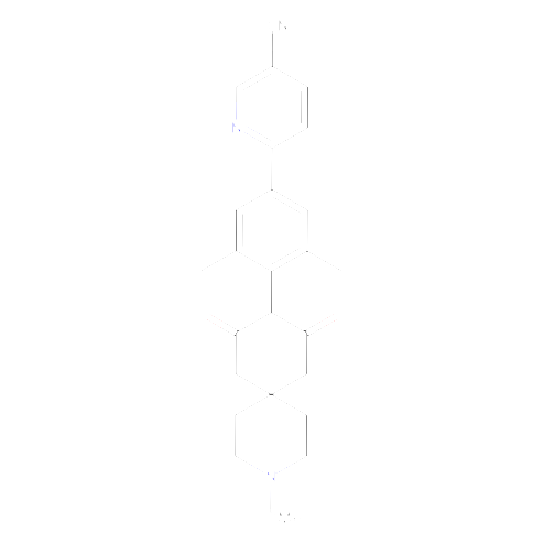 CON1CCC2(CC1)CC(=O)C(c1c(C)cc(-c3ccc(C#N)cn3)cc1C)C(=O)C2